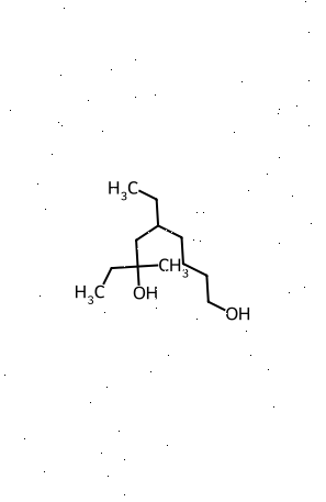 CCC(CCCCO)CC(C)(O)CC